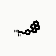 OPCCC1CCC(c2ccc3ccc4cccc5ccc2c3c45)CC1